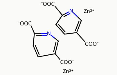 O=C([O-])c1ccc(C(=O)[O-])nc1.O=C([O-])c1ccc(C(=O)[O-])nc1.[Zn+2].[Zn+2]